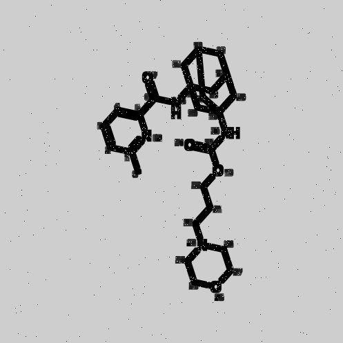 Cc1cccc(C(=O)NC23CC4CC(CC(NC(=O)OCCCN5CCOCC5)(C4)C2)C3)n1